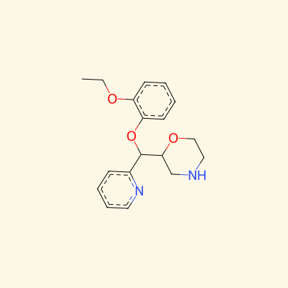 CCOc1ccccc1OC(c1ccccn1)C1CNCCO1